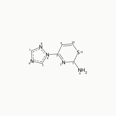 NC1N=C(n2cncn2)C=CS1